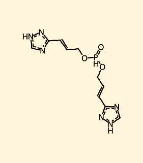 O=[PH](OC/C=C/c1nc[nH]n1)OC/C=C/c1nc[nH]n1